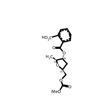 COC(=O)OC[C@@H]1C[C@@H](OC(=O)c2ccccc2C(=O)O)[C@H](C)O1